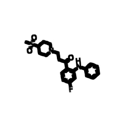 CS(=O)(=O)C1CCN(CCC(=O)c2ccc(F)cc2Nc2ccccc2)CC1